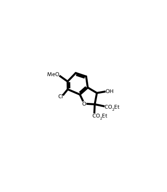 CCOC(=O)C1(C(=O)OCC)Oc2c(ccc(OC)c2Cl)C1O